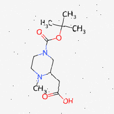 CN1CCN(C(=O)OC(C)(C)C)CC1CC(=O)O